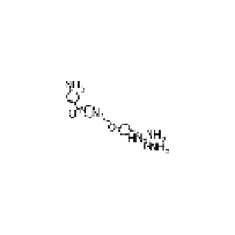 N/N=C(\N)NCc1ccc(OCCCN2CCN(C(=O)c3ccc(N)cc3)CC2)cc1